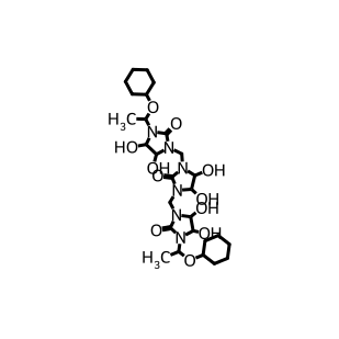 CC(OC1CCCCC1)N1C(=O)N(CN2C(=O)N(CN3C(=O)N(C(C)OC4CCCCC4)C(O)C3O)C(O)C2O)C(O)C1O